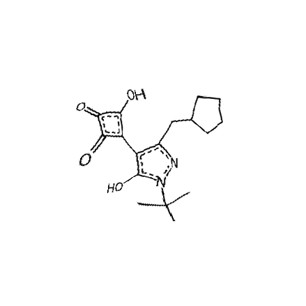 CC(C)(C)n1nc(CC2CCCC2)c(-c2c(O)c(=O)c2=O)c1O